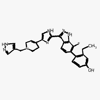 CCc1cc(O)ccc1-c1ccc2c(-c3nc(C4=CCN(Cc5cn[nH]c5)CC4)c[nH]3)n[nH]c2c1F